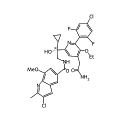 CCOc1c(CC(N)=O)cc([C@@](O)(CNC(=O)c2cc(OC)c3nc(C)c(Cl)cc3c2)C2CC2)nc1-c1c(F)cc(Cl)cc1F